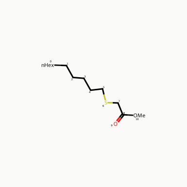 CCCCCCCCCCCSCC(=O)OC